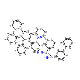 NC1(c2cccc(-c3cccc(-c4cc(-c5ccccc5)c(-c5ccccc5)c(-c5ccccc5)c4-c4ccccc4)n3)c2)N=C1c1cccc(-c2ccccc2)c1